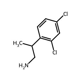 CC(CN)c1ccc(Cl)cc1Cl